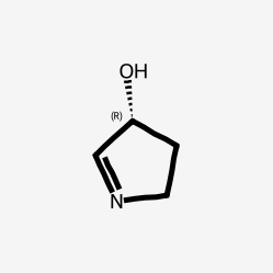 O[C@H]1C=NCC1